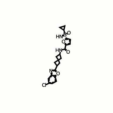 N=[S@@](=O)(c1ccc(C(=O)NC2CC3(C2)CC(c2nc4cc(Cl)ccc4o2)C3)o1)C1CC1